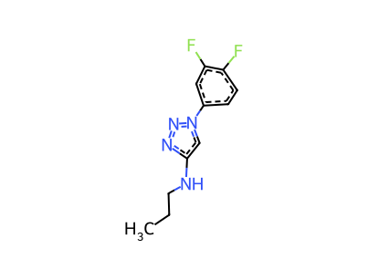 CCCNc1cn(-c2ccc(F)c(F)c2)nn1